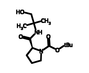 CC(C)(CO)NC(=O)[C@@H]1CCCN1C(=O)OC(C)(C)C